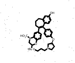 CC(C)(C)C1CN(C(=O)O)c2cc(C3=C(c4ccc(O[C@H]5CCN(CCCF)C5)cc4)c4ccc(O)cc4CCC3)ccc2O1